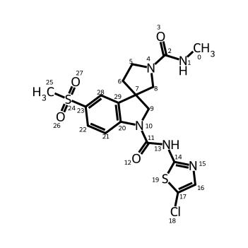 CNC(=O)N1CCC2(C1)CN(C(=O)Nc1ncc(Cl)s1)c1ccc(S(C)(=O)=O)cc12